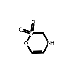 O=S1(=O)CNC=CO1